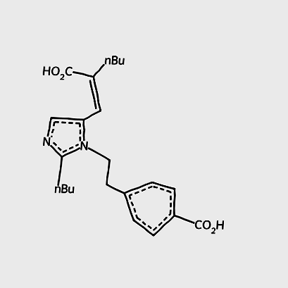 CCCCC(=Cc1cnc(CCCC)n1CCc1ccc(C(=O)O)cc1)C(=O)O